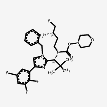 CC(C)(C)[C@H](c1nc(-c2cc(F)cc(F)c2F)cn1Cc1ccccc1)N(CC[C@H](N)CF)C(=O)ON1CCOCC1